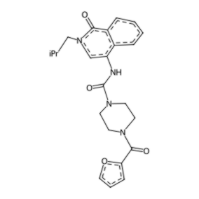 CC(C)Cn1cc(NC(=O)N2CCN(C(=O)c3ccco3)CC2)c2ccccc2c1=O